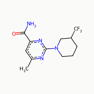 Cc1cc(C(N)=O)nc(N2CCCC(C(F)(F)F)C2)n1